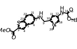 COC(=O)c1cc2cc(NCc3cc(NC(=O)OC(C)(C)C)cn3C)ccc2s1